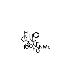 CNC(=O)C(F)(F)[C@H](O)C(Cc1ccccc1)NC(=O)[C@@H]1CCCN1.Cl